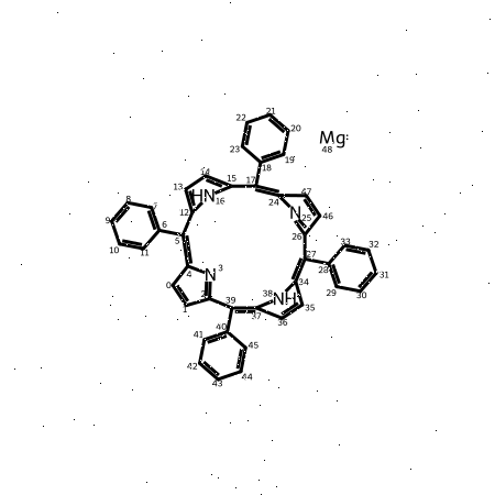 C1=Cc2nc1c(-c1ccccc1)c1ccc([nH]1)c(-c1ccccc1)c1nc(c(-c3ccccc3)c3ccc([nH]3)c2-c2ccccc2)C=C1.[Mg]